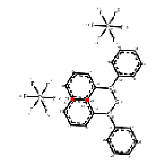 F[P-](F)(F)(F)(F)F.F[P-](F)(F)(F)(F)F.c1ccc([S+](S[S+](c2ccccc2)c2ccccc2)c2ccccc2)cc1